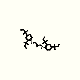 CCC(C)(C)c1ccc(OCC(=O)COc2ccc(C(C)(C)CC)cc2C(C)(C)CC)c(C(C)(C)CC)c1